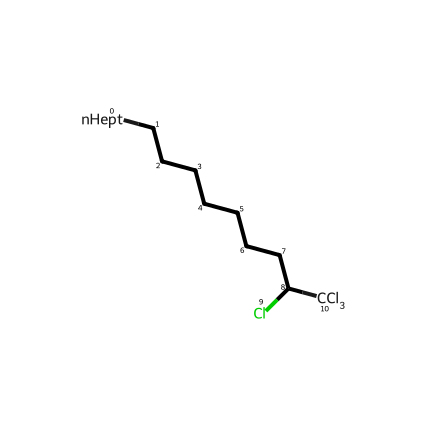 CCCCCCCCCCCCCCC(Cl)C(Cl)(Cl)Cl